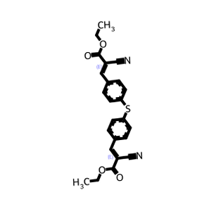 CCOC(=O)/C(C#N)=C/c1ccc(Sc2ccc(/C=C(\C#N)C(=O)OCC)cc2)cc1